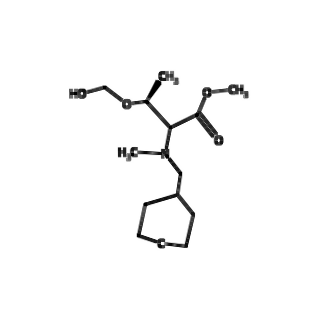 COC(=O)C([C@H](C)OCO)N(C)CC1CCCCC1